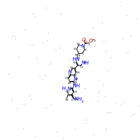 COCC(=O)N1CCC(CN/C=C(\C=N)c2cnc3ccc(N/C(N)=C/C(=C\N)C(C)C)nc3c2)CC1